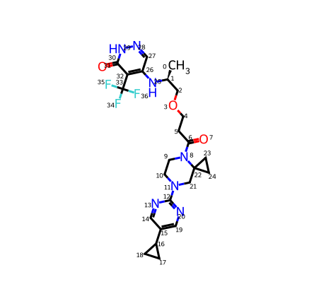 C[C@@H](COCCC(=O)N1CCN(c2ncc(C3CC3)cn2)CC12CC2)Nc1cn[nH]c(=O)c1C(F)(F)F